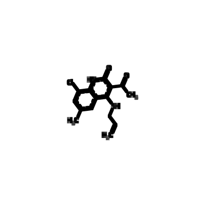 C=CCNc1c(C(C)=O)c(=O)[nH]c2c(Cl)cc(C)cc12